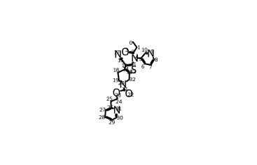 CCC(=O)N(c1cccnc1)c1sc2c(c1C#N)CCN(C(=O)OCCc1ccccn1)C2